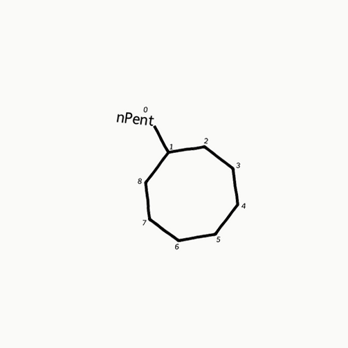 [CH]CCCCC1CCCCCCC1